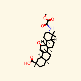 COC(=O)C(=O)N[C@H]1CC[C@]2(C)[C@H]3C(=O)C=C4[C@@H]5C[C@@](C)(C(=O)O)CC[C@]5(C)CC[C@@]4(C)[C@]3(C)CC[C@H]2C1(C)C